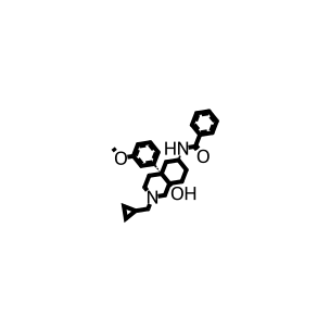 COc1cccc([C@@]23CCN(CC4CC4)C[C@@]2(O)CC[C@@H](NC(=O)c2ccccc2)C3)c1